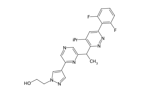 CC(C)c1cc(-c2c(F)cccc2F)nnc1C(C)c1cncc(-c2cnn(CCO)c2)n1